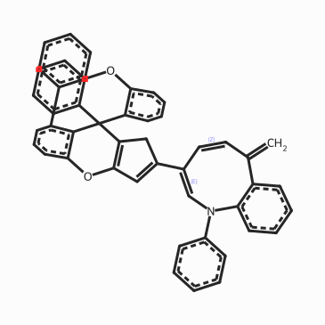 C=C1/C=C\C(C2=CC3=C(C2)C2(c4ccccc4Oc4ccccc42)c2c(cccc2-c2ccccc2)O3)=C/N(c2ccccc2)c2ccccc21